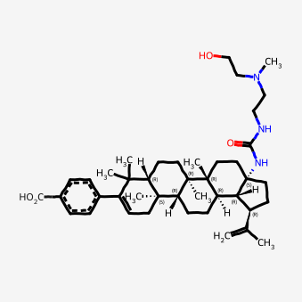 C=C(C)[C@@H]1CC[C@]2(NC(=O)NCCN(C)CCO)CC[C@]3(C)[C@H](CC[C@@H]4[C@@]5(C)CC=C(c6ccc(C(=O)O)cc6)C(C)(C)[C@@H]5CC[C@]43C)[C@@H]12